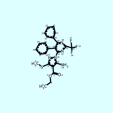 CCOC(=O)c1c(SC)nn(-c2nc(C(F)(F)F)nc(-c3ccccc3)c2-c2ccccc2)c1N